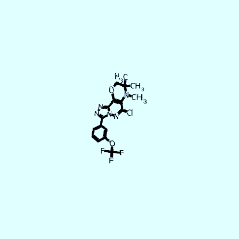 CN1c2c(Cl)nn3c(-c4cccc(OC(F)(F)F)c4)nnc3c2OCC1(C)C